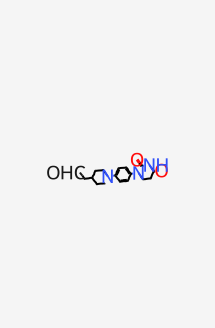 O=CCC1CCN(c2ccc(N3CCC(=O)NC3=O)cc2)CC1